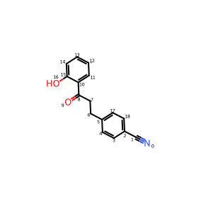 N#Cc1ccc(CCC(=O)c2c[c]ccc2O)cc1